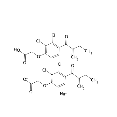 C=C(CC)C(=O)c1ccc(OCC(=O)O)c(Cl)c1Cl.C=C(CC)C(=O)c1ccc(OCC(=O)[O-])c(Cl)c1Cl.[Na+]